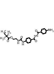 CCC(C)(C)C(=O)OCCNC(=O)Nc1ccc(C(=O)SSC(=O)c2ccc(N)cc2)cc1